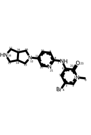 Cn1cc(Br)cc(Nc2ccc(N3CC4CNCC4C3)cn2)c1=O